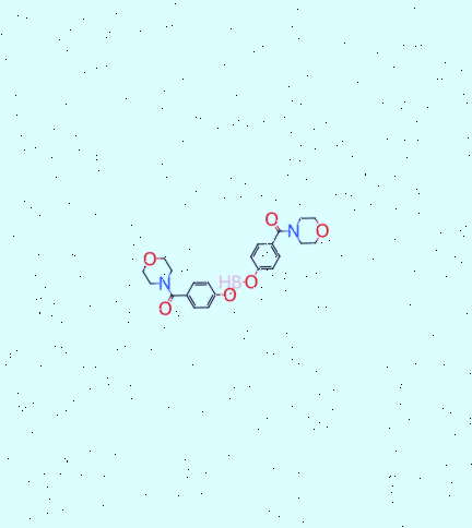 O=C(c1ccc(OBOc2ccc(C(=O)N3CCOCC3)cc2)cc1)N1CCOCC1